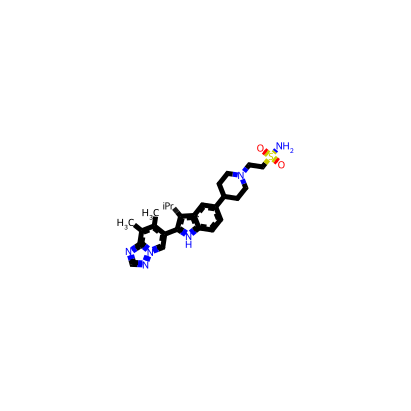 Cc1c(-c2[nH]c3ccc(C4CCN(CCS(N)(=O)=O)CC4)cc3c2C(C)C)cn2ncnc2c1C